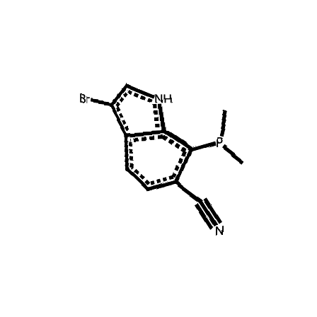 CP(C)c1c(C#N)ccc2c(Br)c[nH]c12